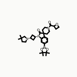 CC1(C)CCN([C@H]2C[C@@H](N3C(=O)C4(CCN(C(=O)C5CCO5)CC4)c4ccc(B5OC(C)(C)C(C)(C)O5)cc43)C2)C1